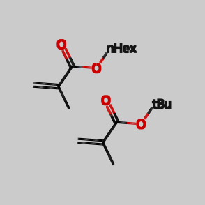 C=C(C)C(=O)OC(C)(C)C.C=C(C)C(=O)OCCCCCC